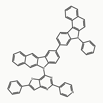 c1ccc(-c2cc3nc(-c4ccncc4)nc(-n4c5ccc(-c6ccc7c8c9ccccc9ccc8n(-c8ccccc8)c7c6)cc5c5cc6ccccc6cc54)c3s2)cc1